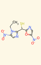 CCn1c([N+](=O)[O-])cnc1C(S)c1ncc([N+](=O)[O-])o1